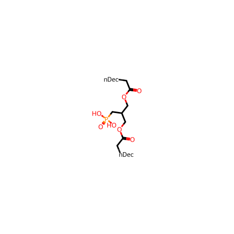 CCCCCCCCCCCC(=O)OCC(COC(=O)CCCCCCCCCCC)CP(=O)(O)O